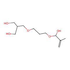 C=C(C)C(O)OCCCOCC(CO)CO